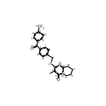 Cc1c(SCc2ccc(C(=O)c3ccc(C(F)(F)F)cc3)cc2)nc2n(c1=O)CCCC2